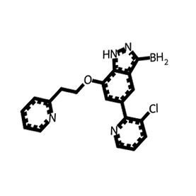 Bc1n[nH]c2c(OCCc3ccccn3)cc(-c3ncccc3Cl)cc12